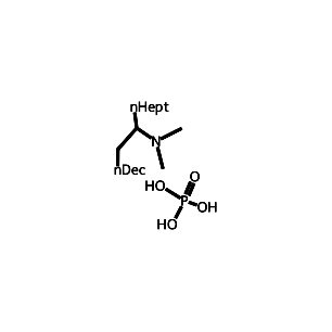 CCCCCCCCCCCC(CCCCCCC)N(C)C.O=P(O)(O)O